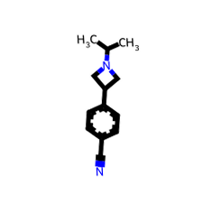 CC(C)N1CC(c2ccc(C#N)cc2)C1